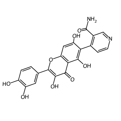 NC(=O)c1cnccc1-c1c(O)cc2oc(-c3ccc(O)c(O)c3)c(O)c(=O)c2c1O